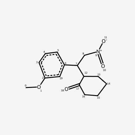 COc1cccc(C(C[N+](=O)[O-])C2CCCCC2=O)c1